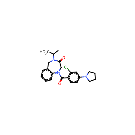 CC(C(=O)O)N1Cc2ccccc2N(C(=O)c2ccc(N3CCCC3)cc2Cl)CC1=O